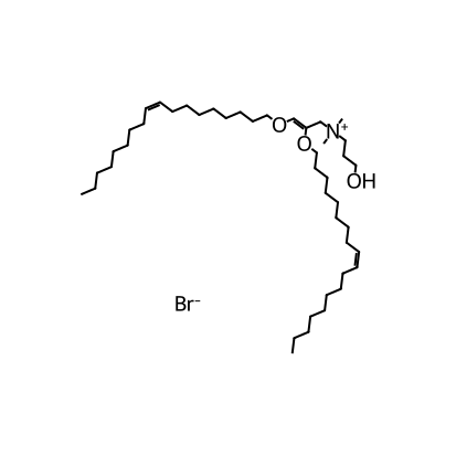 CCCCCCCC/C=C\CCCCCCCCOC=C(C[N+](C)(C)CCCO)OCCCCCCCC/C=C\CCCCCCCC.[Br-]